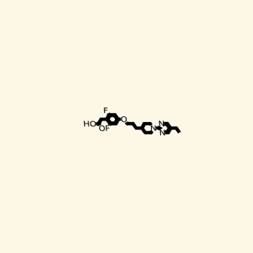 CCc1cnc(N2CCC(CCCOc3cc(F)c(CC(=O)O)c(F)c3)CC2)nc1